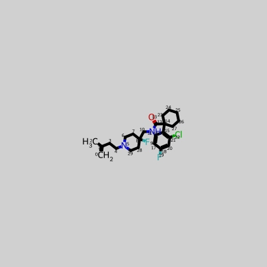 C=C(C)CCN1CCC(F)(CNC(=O)C2(c3ccc(F)cc3Cl)CCCCC2)CC1